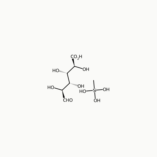 C[Si](O)(O)O.O=C[C@@H](O)[C@@H](O)[C@H](O)[C@H](O)C(=O)O